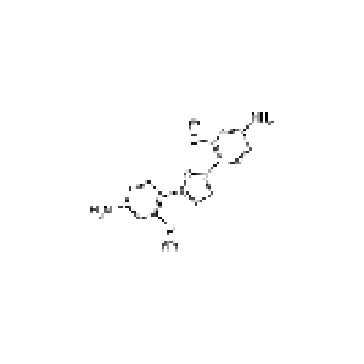 CCCOc1cc(N)ccc1-c1ccc(-c2ccc(N)cc2OCCC)o1